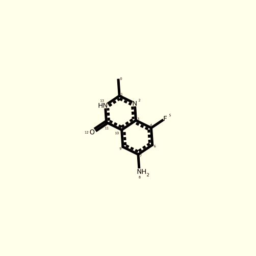 Cc1nc2c(F)cc(N)cc2c(=O)[nH]1